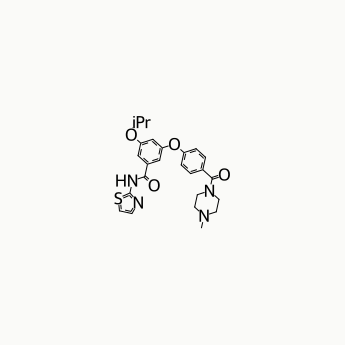 CC(C)Oc1cc(Oc2ccc(C(=O)N3CCN(C)CC3)cc2)cc(C(=O)Nc2nccs2)c1